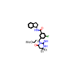 CCC1(CC)CC(=O)N([C@H](CCOC)c2cc(F)cc(C(=O)N[C@H]3CCc4ccccc43)c2)C(=N)N1